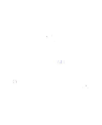 N#CCCNc1cc(Br)ccc1[N+](=O)[O-]